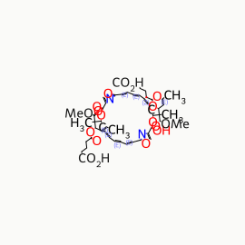 C/C=C/C(OC(=O)CCCC(=O)O)C(C)(C(=O)OC)C1C\C=C/C=C/C=C/c2nc(co2)C(O)OC(C(C)(C(=O)OC)C(/C=C/C)OC(=O)CCCC(=O)O)C\C=C/C=C/C=C/c2nc(co2)C(=O)O1